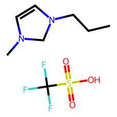 CCCN1C=CN(C)C1.O=S(=O)(O)C(F)(F)F